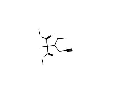 CCC(CC#N)C(C)(C(=O)OC)C(=O)OC